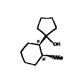 CN[C@H]1CCCC[C@H]1C1(O)CCCC1